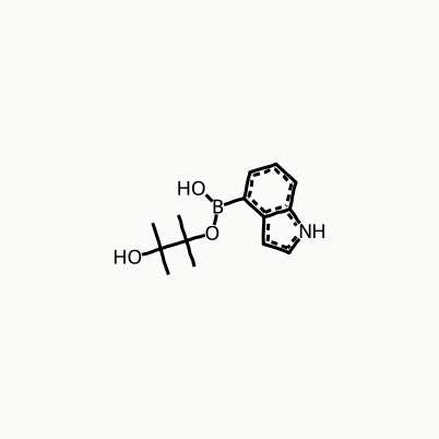 CC(C)(O)C(C)(C)OB(O)c1cccc2[nH]ccc12